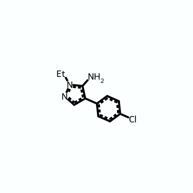 CCn1ncc(-c2ccc(Cl)cc2)c1N